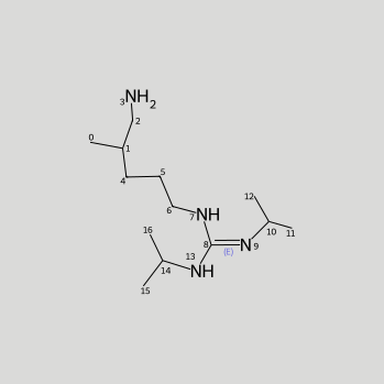 CC(CN)CCCN/C(=N\C(C)C)NC(C)C